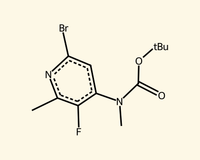 Cc1nc(Br)cc(N(C)C(=O)OC(C)(C)C)c1F